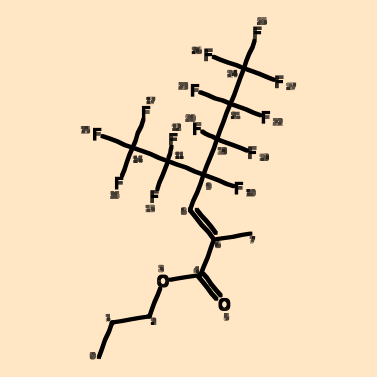 CCCOC(=O)C(C)=CC(F)(C(F)(F)C(F)(F)F)C(F)(F)C(F)(F)C(F)(F)F